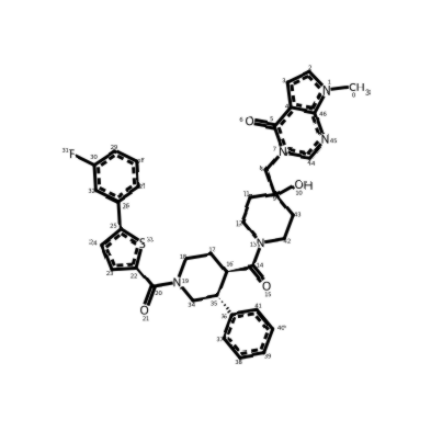 Cn1ccc2c(=O)n(CC3(O)CCN(C(=O)[C@@H]4CCN(C(=O)c5ccc(-c6cccc(F)c6)s5)C[C@H]4c4ccccc4)CC3)cnc21